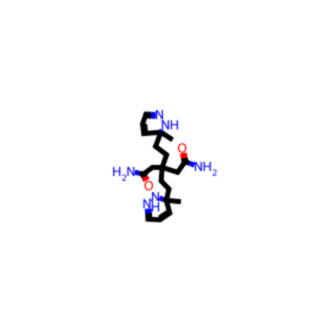 CC1(CCC(CCC2(C)C=CC=NN2)(CC(N)=O)CC(N)=O)C=CC=NN1